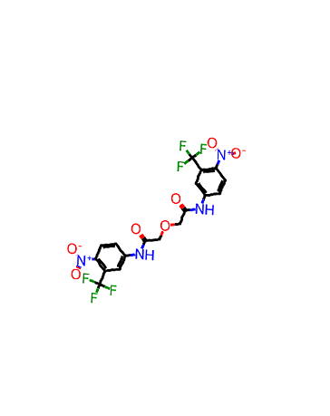 O=C(COCC(=O)Nc1ccc([N+](=O)[O-])c(C(F)(F)F)c1)Nc1ccc([N+](=O)[O-])c(C(F)(F)F)c1